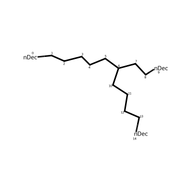 CCCCCCCCCCCCCCC[C](CCCCCCCCCCCC)CCCCCCCCCCCCCC